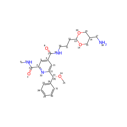 CNC(=O)c1cc(C(=O)NCCCC2OCC(CN)CO2)cc([C@H](OC)c2ccccc2)n1